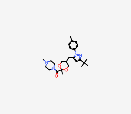 Cc1ccc(-n2nc(C(C)(C)C)cc2CC2COC(C)(C(=O)N3CCN(C)CC3)OC2)cc1